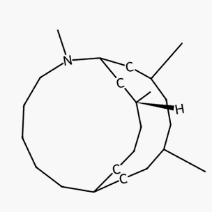 CC1CCC(C)CC2C[C@H](C)CCCC(CCCCCN2C)CC1